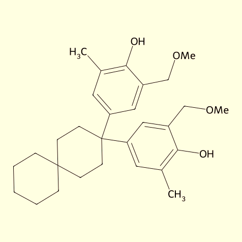 COCc1cc(C2(c3cc(C)c(O)c(COC)c3)CCC3(CCCCC3)CC2)cc(C)c1O